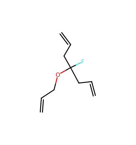 C=CCOC(F)(CC=C)CC=C